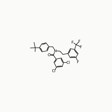 CC(C)(C)c1ccc(CN(CCc2cc(F)cc(C(F)(F)F)c2)C(=O)c2cc(Cl)cc(Cl)c2)cc1